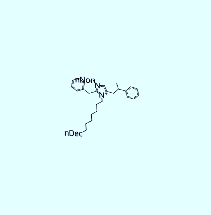 CCCCCCCCCCCCCCCCC[n+]1c(CC(C)c2ccccc2)cn(CCCCCCCCC)c1Cc1ccccc1